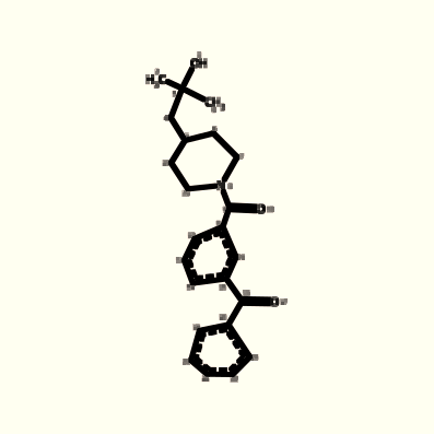 CC(C)(O)CC1CCN(C(=O)c2cccc(C(=O)c3ccccc3)c2)CC1